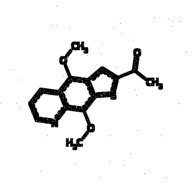 COc1c2cccnc2c(OC)c2sc(C(C)=O)cc12